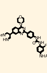 CNCC(C=N)c1ccc2c(N3CCOCC3)nc(-c3ccc(NC(=O)Nc4ccc(NC(C)=O)cc4F)cc3)nc2c1